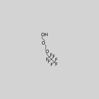 OCCOCCOCC(F)(F)C(F)(F)C(F)(F)F